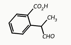 CC(C=O)c1ccccc1C(=O)O